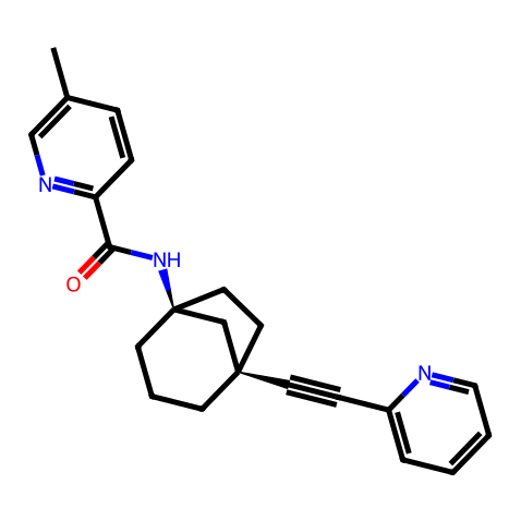 Cc1ccc(C(=O)N[C@@]23CCC[C@@](C#Cc4ccccn4)(CC2)C3)nc1